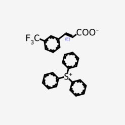 O=C([O-])/C=C/c1cccc(C(F)(F)F)c1.c1ccc([S+](c2ccccc2)c2ccccc2)cc1